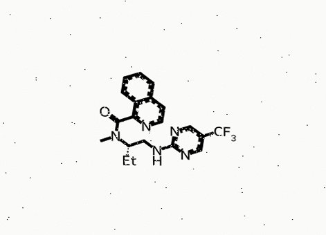 CC[C@@H](CNc1ncc(C(F)(F)F)cn1)N(C)C(=O)c1nccc2ccccc12